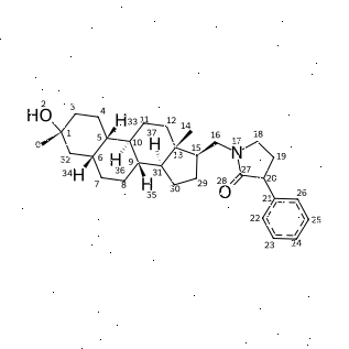 C[C@@]1(O)CC[C@H]2[C@H](CC[C@@H]3[C@@H]2CC[C@]2(C)[C@@H](CN4CCC(c5ccccc5)C4=O)CC[C@@H]32)C1